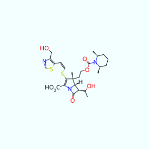 CC(O)[C@H]1C(=O)N2C(C(=O)O)=C(S/C=C\c3scnc3CO)[C@](C)(CCOC(=O)N3[C@H](C)CCC[C@@H]3C)[C@H]12